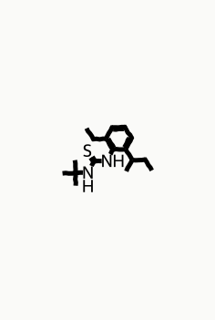 CCc1cccc(C(C)CC)c1NC(=S)NC(C)(C)C